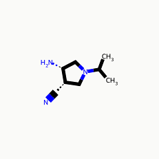 CC(C)N1C[C@@H](N)[C@@H](C#N)C1